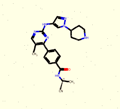 Cc1cnc(Nc2cnn(C3CCNCC3)c2)nc1-c1ccc(C(=O)N[C@@H](C)C#N)cc1